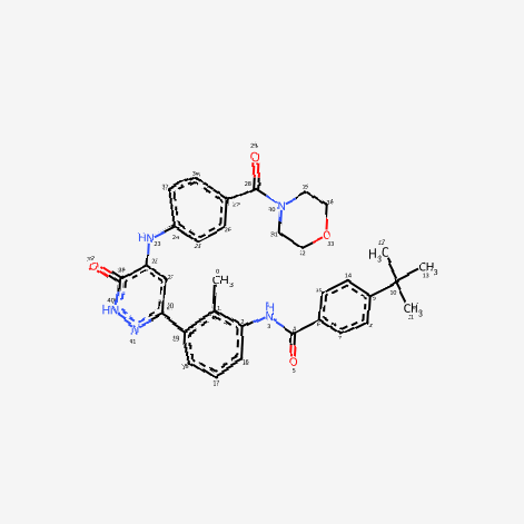 Cc1c(NC(=O)c2ccc(C(C)(C)C)cc2)cccc1-c1cc(Nc2ccc(C(=O)N3CCOCC3)cc2)c(=O)[nH]n1